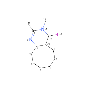 CC1=NC2CCCCCCC2C(I)N1C